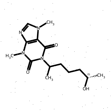 CC(CCC[C@H](C)O)n1c(=O)c2c(ncn2C)n(C)c1=O